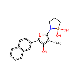 CC(=O)Oc1c(N2CCCS2(O)O)oc(-c2ccc3ccccc3c2)c1O